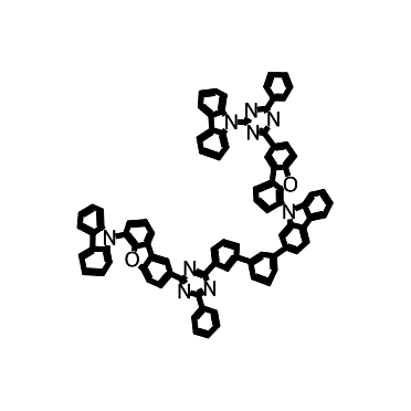 c1ccc(-c2nc(-c3cccc(-c4cccc(-c5ccc6c7ccccc7n(-c7cccc8c7oc7ccc(-c9nc(-c%10ccccc%10)nc(-n%10c%11ccccc%11c%11ccccc%11%10)n9)cc78)c6c5)c4)c3)nc(-c3ccc4oc5c(-n6c7ccccc7c7ccccc76)cccc5c4c3)n2)cc1